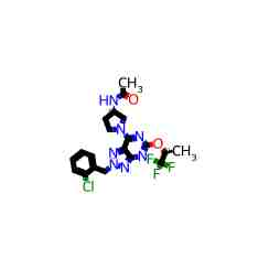 CC(=O)N[C@H]1CCN(c2nc(O[C@@H](C)C(F)(F)F)nc3nn(Cc4ccccc4Cl)nc23)C1